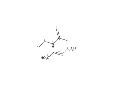 CCNC(C)=O.O=C(O)/C=C/C(=O)O